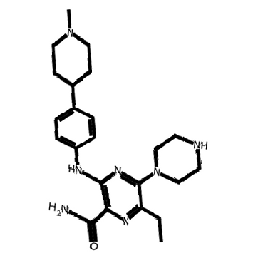 CCc1nc(C(N)=O)c(Nc2ccc(C3CCN(C)CC3)cc2)nc1N1CCNCC1